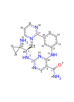 CC[C@@H](Nc1ncc(C(N)=O)c(Nc2cccc(-c3ncccn3)c2)n1)C1(N)CC1